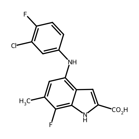 Cc1cc(Nc2ccc(F)c(Cl)c2)c2cc(C(=O)O)[nH]c2c1F